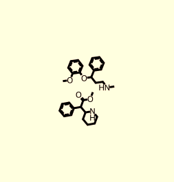 CNCCC(Oc1ccccc1OC)c1ccccc1.COC(=O)C(c1ccccc1)C1CCCCN1